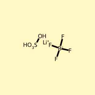 F[B-](F)(F)F.O=S(=O)(O)O.[Li+]